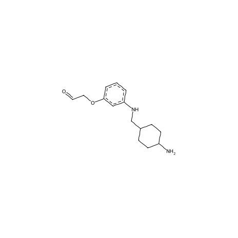 NC1CCC(CNc2cccc(OCC=O)c2)CC1